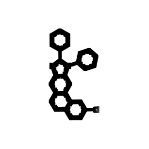 Clc1ccc2ccc3cc4nc(-c5ccccc5)n(-c5ccccc5)c4cc3c2c1